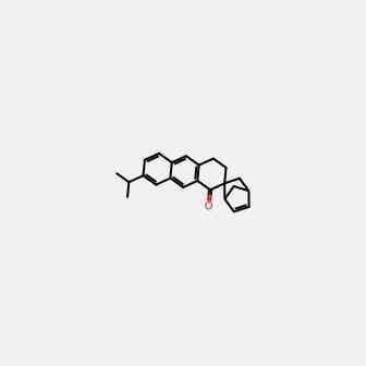 CC(C)c1ccc2cc3c(cc2c1)C(=O)C1(CC3)CC2C=CC1C2